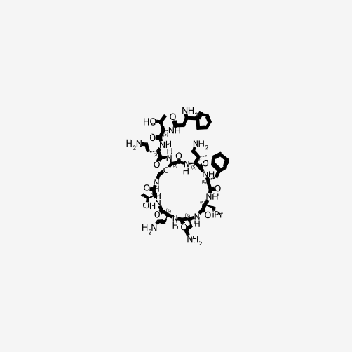 CC(C)C[C@@H]1NC(=O)[C@@H](Cc2ccccc2)NC(=O)[C@H]([C@@H](C)CN)NC(=O)[C@@H](NC(=O)[C@H](CCN)NC(=O)[C@@H](NC(=O)CC(N)c2ccccc2)C(C)O)CCNC(=O)[C@H](C(C)O)NC(=O)[C@H](CCN)NC(=O)[C@H](CCN)NC1=O